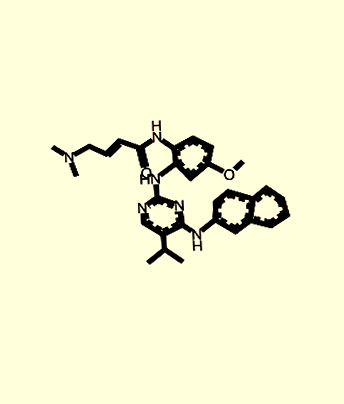 COc1ccc(NC(=O)/C=C/CN(C)C)c(Nc2ncc(C(C)C)c(Nc3ccc4ccccc4c3)n2)c1